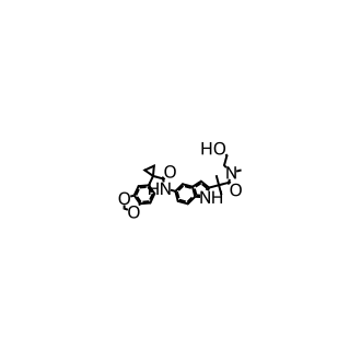 CN(CCO)C(=O)C(C)(C)c1cc2cc(NC(=O)C3(c4ccc5c(c4)OCO5)CC3)ccc2[nH]1